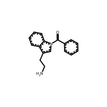 NCCc1cn(C(=O)c2ccccc2)c2ccccc12